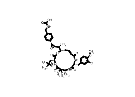 COc1ccc(C[C@H]2NC(=O)/C=C/C[C@@H]([C@H](C)[C@H]3O[C@@H]3c3ccc(CNC(=O)O)cc3)OC(=O)[C@H](CC(C)(C)C)NC(=O)C(C)(C)[C@H](C)NC2=O)cc1Cl